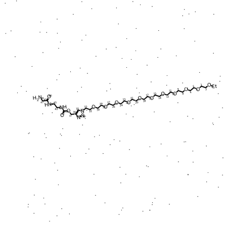 CCOCCOCCOCCOCCOCCOCCOCCOCCOCCOCCOCCn1cc(COC(=O)NCCNC(=O)CN)nn1